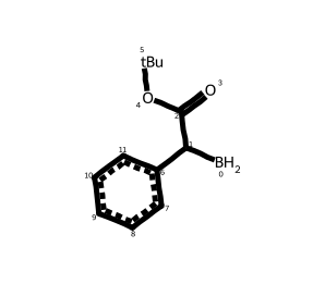 BC(C(=O)OC(C)(C)C)c1ccccc1